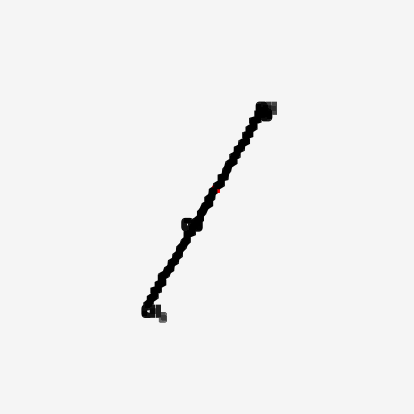 CCCCCCCCC=CCCCCCCCCCCCCCC(=O)OCCCCCCCCCCCCCCCCCCCCCCCCCCCCCCCC(=O)O